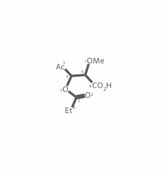 CCC(=O)OC(C(C)=O)C(OC)C(=O)O